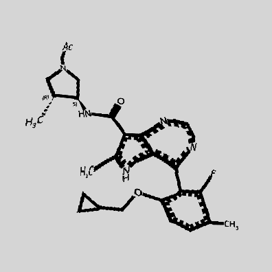 CC(=O)N1C[C@@H](C)[C@H](NC(=O)c2c(C)[nH]c3c(-c4c(OCC5CC5)ccc(C)c4F)ncnc23)C1